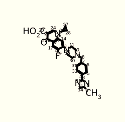 CC1=NC(c2ccc(CN3CCN(c4cc5c(cc4F)c(=O)c(C(=O)O)cn5C4CC4)CC3)cc2)=NC1